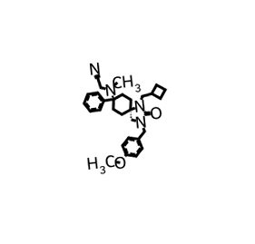 COc1ccc(CN2C[C@]3(CC[C@](c4ccccc4)(N(C)CC#N)CC3)N(CC3CCC3)C2=O)cc1